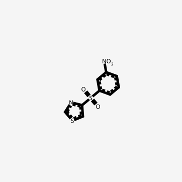 O=[N+]([O-])c1cccc(S(=O)(=O)c2cs[c]n2)c1